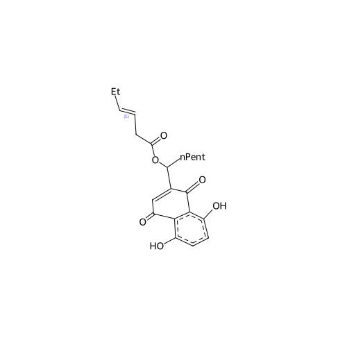 CC/C=C/CC(=O)OC(CCCCC)C1=CC(=O)c2c(O)ccc(O)c2C1=O